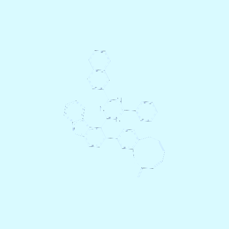 C=C1/C=C\C=C/Cc2ccc(-c3ccc4oc5ccccc5c4c3-c3nc(-c4ccccc4)nc(-c4ccc5ccccc5c4)n3)cc2O1